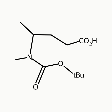 CC(CCC(=O)O)N(C)C(=O)OC(C)(C)C